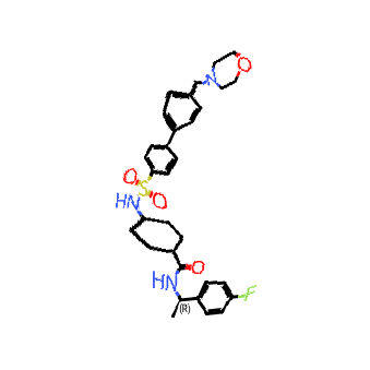 C[C@@H](NC(=O)C1CCC(NS(=O)(=O)c2ccc(-c3ccc(CN4CCOCC4)cc3)cc2)CC1)c1ccc(F)cc1